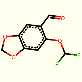 O=Cc1cc2c(cc1OC(F)F)OCO2